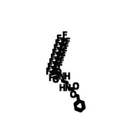 O=C(NCCNS(=O)(=O)C(F)(F)C(F)(F)C(F)(F)C(F)(F)C(F)(F)C(F)(F)C(F)(F)C(F)(F)F)OCc1ccccc1